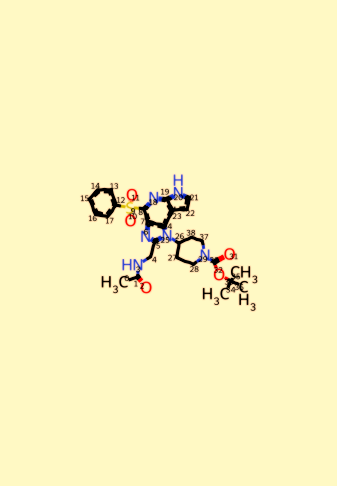 CC(=O)NCc1nc2c(S(=O)(=O)c3ccccc3)nc3[nH]ccc3c2n1C1CCN(C(=O)OC(C)(C)C)CC1